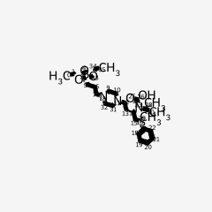 CCOP(=O)(CCCN1CCN(CC[C@H](CSc2ccccc2)N(C(=O)O)C(C)(C)C)CC1)OCC